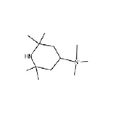 CC1(C)CC([N+](C)(C)C)CC(C)(C)N1